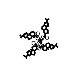 CC(C)c1ccc2c(c1)CCC1CC(C(=O)OCC(COC(=O)C3(C)CCC4(C)c5ccc(C(C)C)cc5CCC4C3)(COC(=O)C3(C)CCCC4(C)c5ccc(C(C)C)cc5CCC34)COC(=O)C3(C)CCCC4(C)c5ccc(C(C)C)cc5CCC34)CCC21